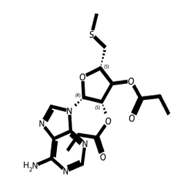 CCC(=O)OC1[C@@H](CSC)O[C@@H](n2cnc3c(N)ncnc32)[C@H]1OC(=O)CC